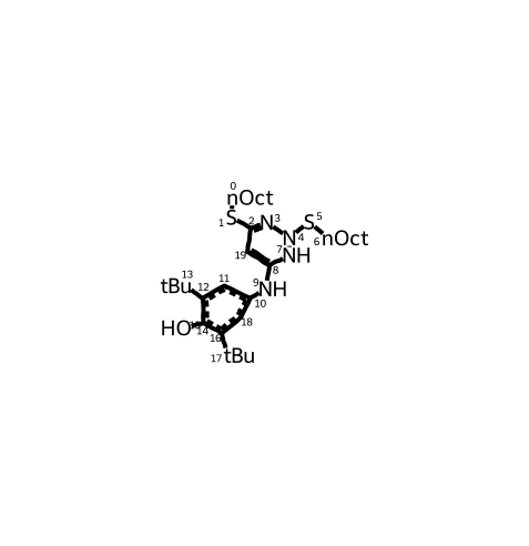 CCCCCCCCSC1=NN(SCCCCCCCC)NC(Nc2cc(C(C)(C)C)c(O)c(C(C)(C)C)c2)=C1